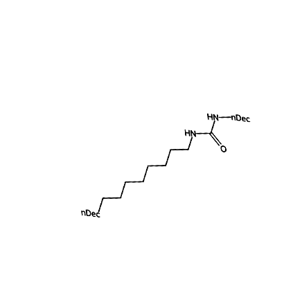 CCCCCCCCCCCCCCCCCCNC(=O)NCCCCCCCCCC